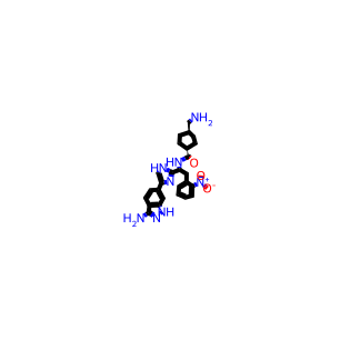 NC[C@H]1CC[C@H](C(=O)NC(Cc2ccccc2[N+](=O)[O-])c2nc(-c3ccc4c(N)n[nH]c4c3)c[nH]2)CC1